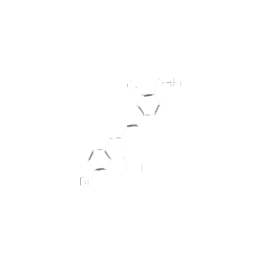 CC(C)Oc1ccc(C=C[C@H](CCO)Cc2ccc(Br)cc2)cc1Cl